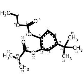 CCOC(=O)Oc1ccc(C(C)(C)C)cc1OC(=O)N(C)C